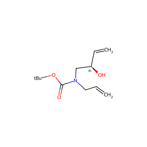 C=CCN(C[C@H](O)C=C)C(=O)OC(C)(C)C